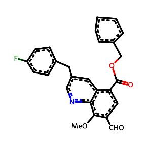 COc1c(C=O)cc(C(=O)OCc2ccccc2)c2cc(Cc3ccc(F)cc3)cnc12